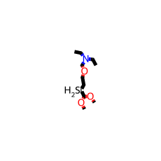 CCN(CC)COCC[SiH2]C(OC)OC